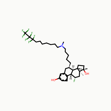 CN(CCCCCCCC(F)(F)C(F)(F)C(F)(F)F)CCCCC[C@@H]1Cc2cc(O)ccc2[C@@H]2[C@@H]1[C@@H]1CC[C@](C)(O)[C@@]1(C)C[C@@H]2F